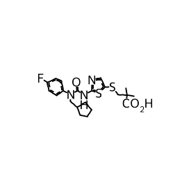 CC(C)(CSc1cnc(NC(=O)N(CC2CCCC2)c2ccc(F)cc2)s1)C(=O)O